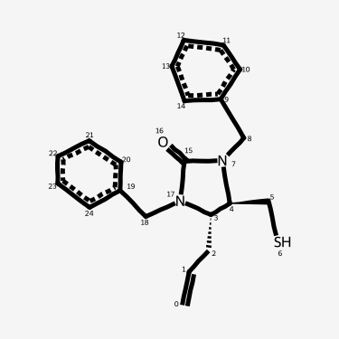 C=CC[C@H]1[C@H](CS)N(Cc2ccccc2)C(=O)N1Cc1ccccc1